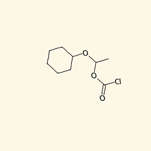 CC(OC(=O)Cl)OC1CCCCC1